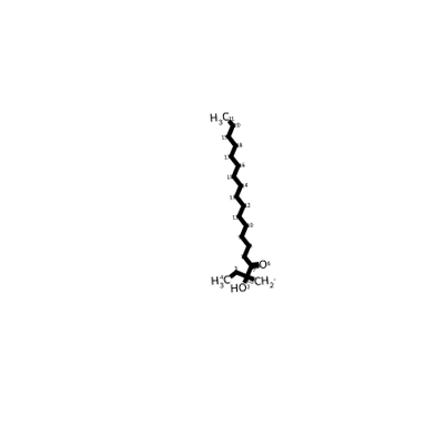 [CH2]C(O)(CC)C(=O)CCCCCCCCCCCCCCC